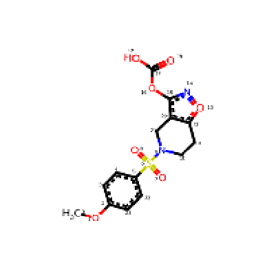 COc1ccc(S(=O)(=O)N2CCc3onc(OC(=O)O)c3C2)cc1